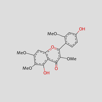 COc1cc(O)ccc1-c1oc2cc(OC)c(OC)c(O)c2c(=O)c1OC